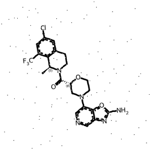 C[C@H]1c2c(cc(Cl)cc2C(F)(F)F)CCN1C(=O)[C@H]1CN(c2cncc3nc(N)oc23)CCO1